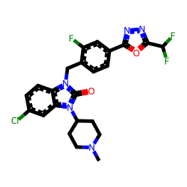 CN1CCC(n2c(=O)n(Cc3ccc(-c4nnc(C(F)F)o4)cc3F)c3ccc(Cl)cc32)CC1